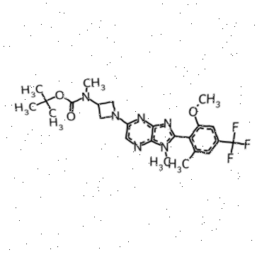 COc1cc(C(F)(F)F)cc(C)c1-c1nc2nc(N3CC(N(C)C(=O)OC(C)(C)C)C3)cnc2n1C